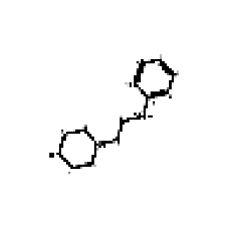 c1ccc(NCCN2CCCCC2)cc1